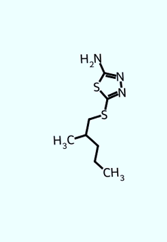 CCCC(C)CSc1nnc(N)s1